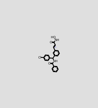 O=C(/C=C/c1cccc(C(NC(=O)c2ccccc2)c2ccc(Cl)cc2)c1)NO